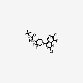 CC(C)(C)OC(=O)NC1CCN(c2nc(Cl)nc3c(F)c(Cl)ncc23)CC1(F)F